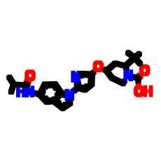 CC(C)C(=O)Nc1ccc2c(ccn2-c2ccc(OC3CCN(C(=O)O)C(C(C)(C)C)C3)cn2)c1